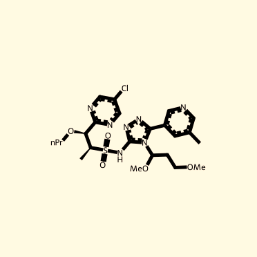 CCCO[C@@H](c1ncc(Cl)cn1)[C@H](C)S(=O)(=O)Nc1nnc(-c2cncc(C)c2)n1C(CCOC)OC